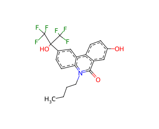 CCCCn1c(=O)c2cc(O)ccc2c2cc(C(O)(C(F)(F)F)C(F)(F)F)ccc21